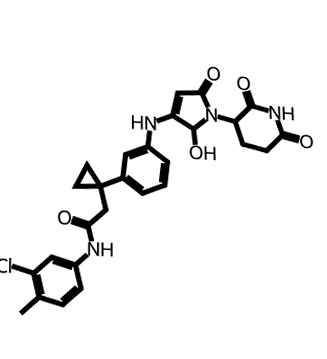 Cc1ccc(NC(=O)CC2(c3cccc(NC4=CC(=O)N(C5CCC(=O)NC5=O)C4O)c3)CC2)cc1Cl